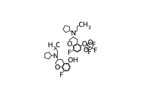 CCCN(C1CCCC1)[C@H]1COc2c(F)ccc(O)c2C1.CCCN(C1CCCC1)[C@H]1COc2c(F)ccc(OS(=O)(=O)C(F)(F)F)c2C1